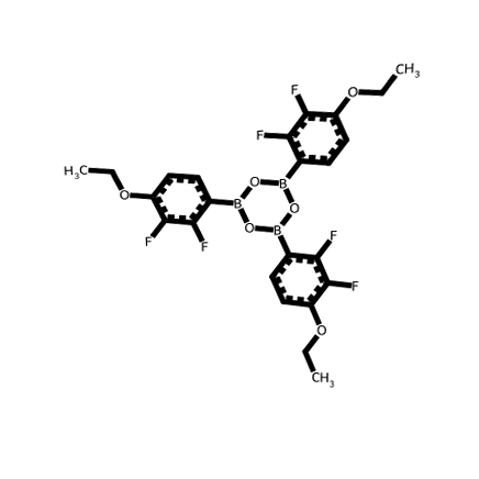 CCOc1ccc(B2OB(c3ccc(OCC)c(F)c3F)OB(c3ccc(OCC)c(F)c3F)O2)c(F)c1F